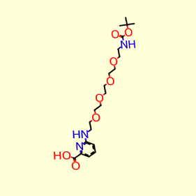 CC(C)(C)OC(=O)NCCOCCOCCOCCOCCNc1cccc(C(=O)O)n1